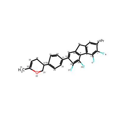 CCCc1cc2c(c(F)c1F)-c1c(cc(-c3ccc(C4CC=C(C)OC4)cc3)c(F)c1F)C2